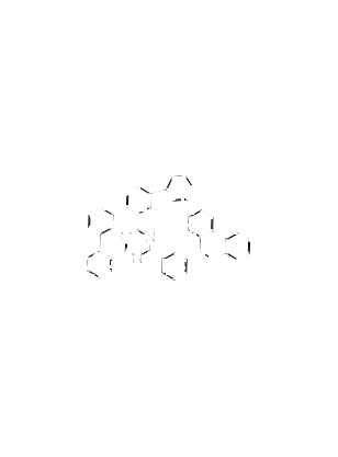 c1ccc(-c2ccccc2-c2nc(-c3cccc(-c4cc5ccccc5c5ccccc45)c3)nc(-c3cccc4c3sc3ccccc34)n2)cc1